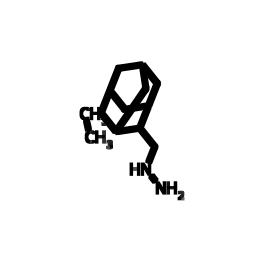 CC.NNCC1C2CC3CC(C2)CC1C3